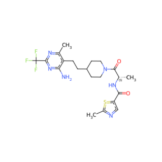 Cc1ncc(C(=O)N[C@@H](C)C(=O)N2CCC(CCc3c(C)nc(C(F)(F)F)nc3N)CC2)s1